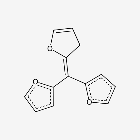 C1=COC(=C(c2ccco2)c2ccco2)C1